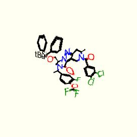 CC(c1ccc(OC(F)F)c(F)c1)N1C[C@@H](CO[Si](c2ccccc2)(c2ccccc2)C(C)(C)C)n2nc3c(c2C1=O)CN(C(=O)c1ccc(Cl)c(Cl)c1)[C@H](C)C3